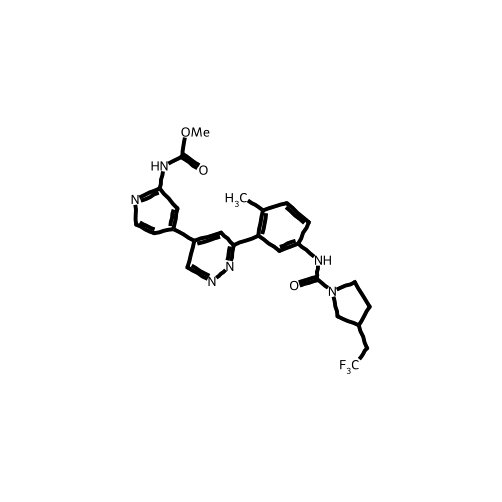 COC(=O)Nc1cc(-c2cnnc(-c3cc(NC(=O)N4CCC(CC(F)(F)F)C4)ccc3C)c2)ccn1